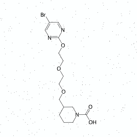 O=C(O)N1CCCC(COCCOCCOc2ncc(Br)cn2)C1